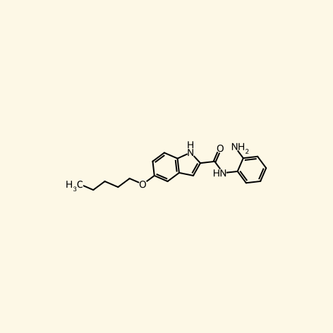 CCCCCOc1ccc2[nH]c(C(=O)Nc3ccccc3N)cc2c1